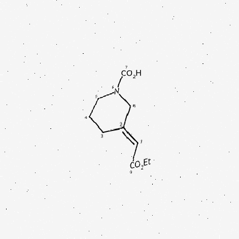 CCOC(=O)C=C1CCCN(C(=O)O)C1